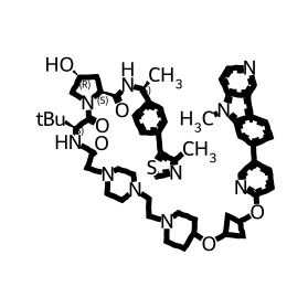 Cc1ncsc1-c1ccc([C@H](C)NC(=O)[C@@H]2C[C@@H](O)CN2C(=O)[C@@H](NC(=O)CN2CCN(CCN3CCC(OC4CC(Oc5ccc(-c6ccc7c8cnccc8n(C)c7c6)cn5)C4)CC3)CC2)C(C)(C)C)cc1